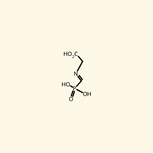 O=C(O)CN=CP(=O)(O)O